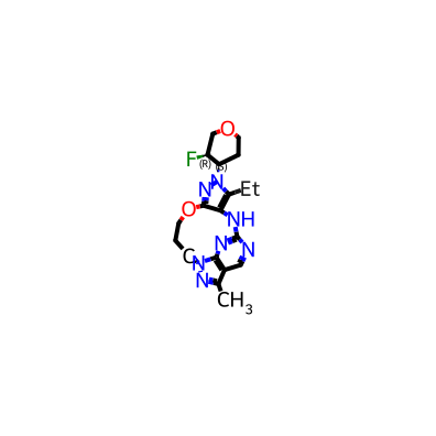 CCc1c2c(nn1[C@H]1CCOC[C@@H]1F)OCCCn1nc(C)c3cnc(nc31)N2